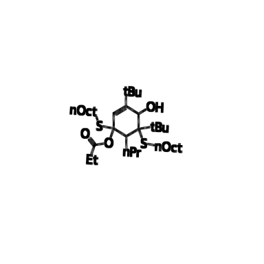 CCCCCCCCSC1(OC(=O)CC)C=C(C(C)(C)C)C(O)C(SCCCCCCCC)(C(C)(C)C)C1CCC